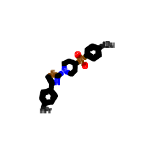 CCCc1ccc(-c2csc(N3CCC(S(=O)(=O)c4ccc(C(C)(C)C)cc4)CC3)n2)cc1